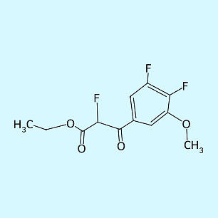 CCOC(=O)C(F)C(=O)c1cc(F)c(F)c(OC)c1